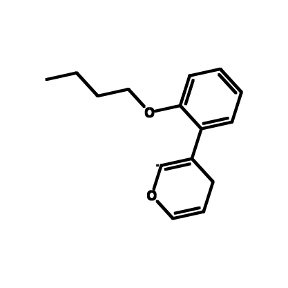 CCCCOc1ccccc1C1=[C]OC=CC1